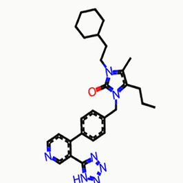 CCCc1c(C)n(CCC2CCCCC2)c(=O)n1Cc1ccc(-c2ccncc2-c2nnn[nH]2)cc1